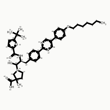 CCCCCCCOc1ccc(-c2cnc(-c3ccc(C[C@H](NC(=O)c4ccc(C(C)(C)C)s4)C(O)N4CCC(C)(C(=O)O)C4)cc3)nc2)cc1